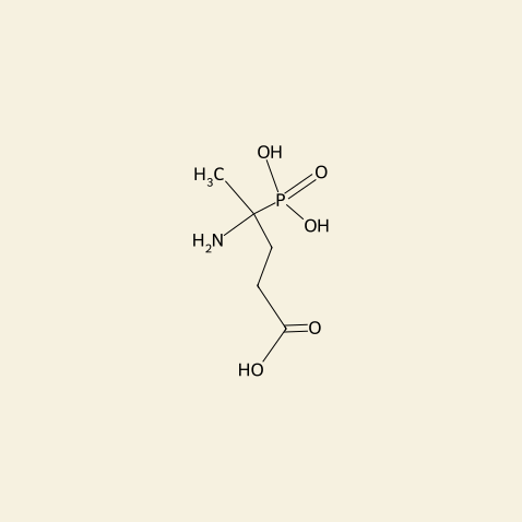 CC(N)(CCC(=O)O)P(=O)(O)O